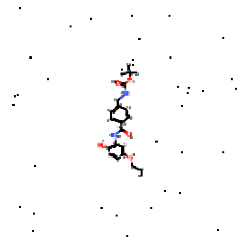 CCCOc1ccc(O)c(NC(=O)c2ccc(CNC(=O)OC(C)(C)C)cc2)c1